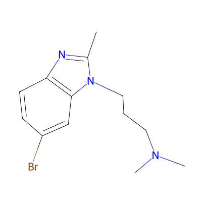 Cc1nc2ccc(Br)cc2n1CCCN(C)C